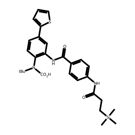 CC(C)(C)N(C(=O)O)c1ccc(-c2cccs2)cc1NC(=O)c1ccc(NC(=O)CC[Si](C)(C)C)cc1